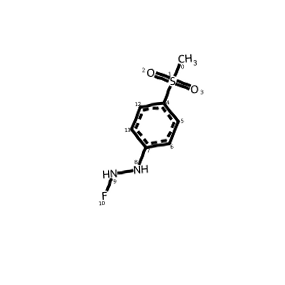 CS(=O)(=O)c1ccc(NNF)cc1